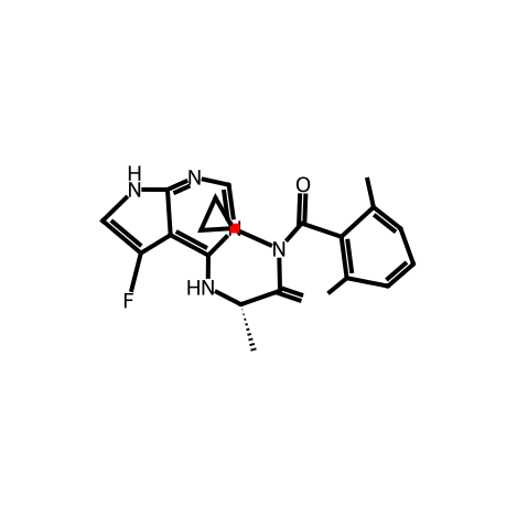 C=C([C@H](C)Nc1ncnc2[nH]cc(F)c12)N(C(=O)c1c(C)cccc1C)C1CC1